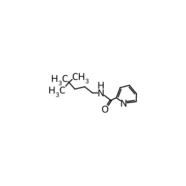 CC(C)(C)CCCNC(=O)c1ccccn1